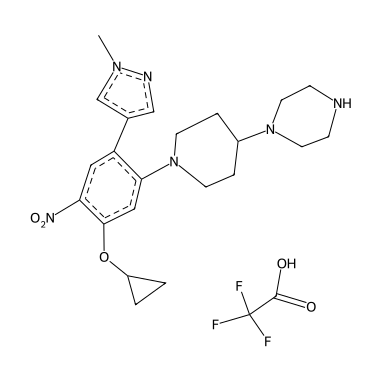 Cn1cc(-c2cc([N+](=O)[O-])c(OC3CC3)cc2N2CCC(N3CCNCC3)CC2)cn1.O=C(O)C(F)(F)F